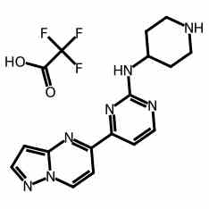 O=C(O)C(F)(F)F.c1cc(-c2ccn3nccc3n2)nc(NC2CCNCC2)n1